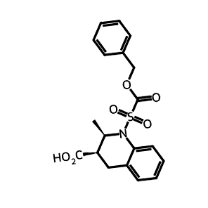 C[C@@H]1[C@H](C(=O)O)Cc2ccccc2N1S(=O)(=O)C(=O)OCc1ccccc1